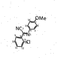 COc1ccc(/N=C(\C#N)c2ccccc2Cl)cc1